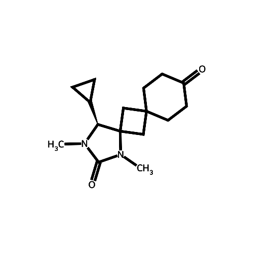 CN1C(=O)N(C)C2(CC3(CCC(=O)CC3)C2)[C@@H]1C1CC1